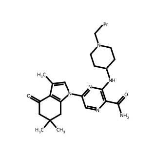 Cc1cn(-c2cnc(C(N)=O)c(NC3CCN(CC(C)C)CC3)n2)c2c1C(=O)CC(C)(C)C2